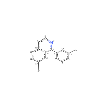 Cc1cccc(-c2nccc3ccc(C)cc23)c1